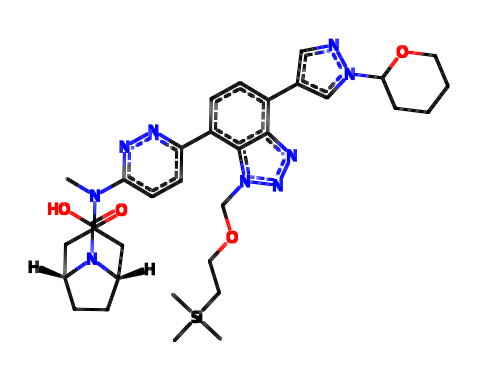 CN(c1ccc(-c2ccc(-c3cnn(C4CCCCO4)c3)c3nnn(COCC[Si](C)(C)C)c23)nn1)C1C[C@H]2CC[C@@H](C1)N2C(=O)O